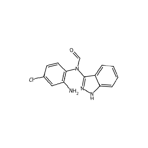 Nc1cc(Cl)ccc1N(C=O)c1n[nH]c2ccccc12